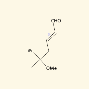 COC(C)(C/C=C/C=O)C(C)C